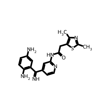 Cc1nc(C)c(CC(=O)Nc2cc(C(=N)c3cc(N)ccc3N)ccn2)s1